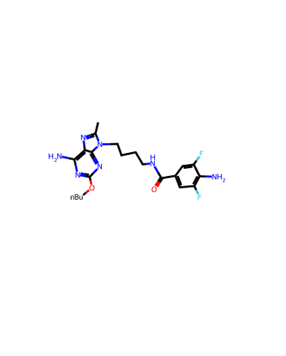 CCCCOc1nc(N)c2nc(C)n(CCCCNC(=O)c3cc(F)c(N)c(F)c3)c2n1